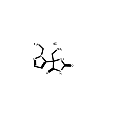 Cl.NCC1(c2ccnn2CC(F)(F)F)NC(=O)NC1=O